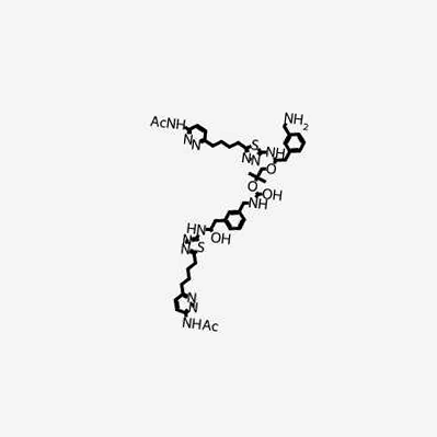 CC(=O)Nc1ccc(CCCCc2nnc(NC(O)Cc3cccc(CNC(O)OC(C)(C)COC(Cc4cccc(CN)c4)Nc4nnc(CCCCc5ccc(NC(C)=O)nn5)s4)c3)s2)nn1